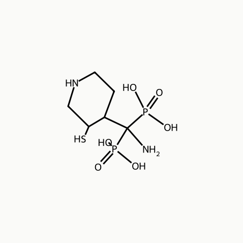 NC(C1CCNCC1S)(P(=O)(O)O)P(=O)(O)O